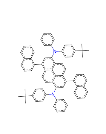 CC(C)(C)c1ccc(N(c2ccccc2)c2cc(-c3cccc4ccccc34)c3ccc4c(N(c5ccccc5)c5ccc(C(C)(C)C)cc5)cc(-c5cccc6ccccc56)c5ccc2c3c54)cc1